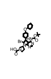 CC(C)(C)OC(=O)Nc1ncnc2c1c(-c1ccc(Oc3ccccc3)cc1)c(Br)n2C1CCN(C(=O)O)C1